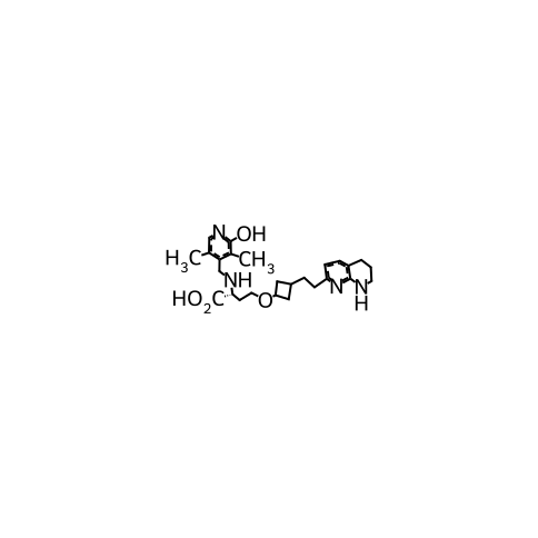 Cc1cnc(O)c(C)c1CN[C@H](CCOC1CC(CCc2ccc3c(n2)NCCC3)C1)C(=O)O